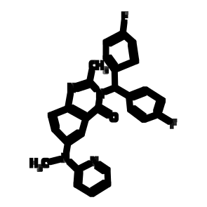 Cc1nc2ccc(N(C)c3ccccn3)cc2c(=O)n1C(c1ccc(F)cc1)c1ccc(F)cc1